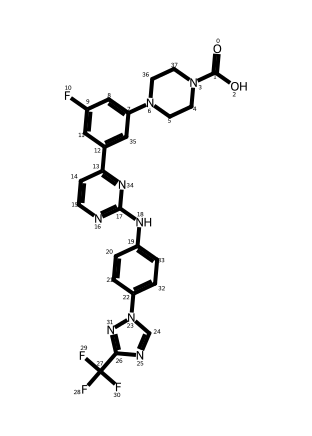 O=C(O)N1CCN(c2cc(F)cc(-c3ccnc(Nc4ccc(-n5cnc(C(F)(F)F)n5)cc4)n3)c2)CC1